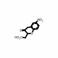 O=C(O)CC1Oc2ccc([N+](=O)[O-])cc2CC1=O